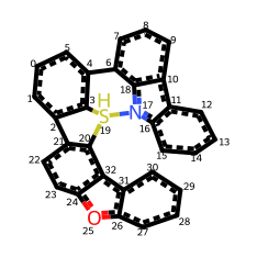 c1cc2c3c(c1)-c1cccc4c5ccccc5n(c14)[SH]3c1c-2ccc2oc3ccccc3c12